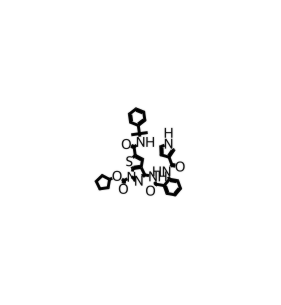 CC(C)(NC(=O)c1cc2c(NC(=O)c3ccccc3NC(=O)c3cc[nH]c3)nn(C(=O)OC3CCCC3)c2s1)c1ccccc1